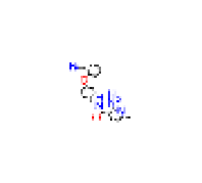 Cc1ccc(C(=O)NCc2ccc(Oc3ccccc3C#N)cc2)c(N)n1